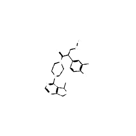 CC(C)NCC(C(=O)N1CCN(c2ncnc3c2C(C)OC3)CC1)c1ccc(Cl)c(F)c1